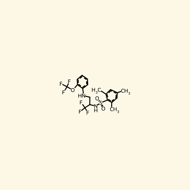 Cc1cc(C)c(S(=O)(=O)NC(CNc2ccccc2OC(F)(F)F)C(F)(F)F)c(C)c1